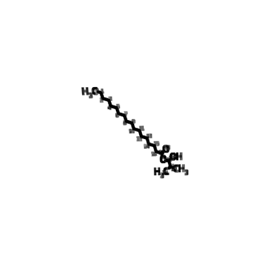 CCCCCCCCCCCCCCCCCC(=O)OC(O)C(C)C